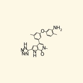 Cc1cc(Oc2ccc(C)c(N)c2)cc(-c2cn(C)c(=O)c3[nH]c(-c4nnn[nH]4)cc23)c1